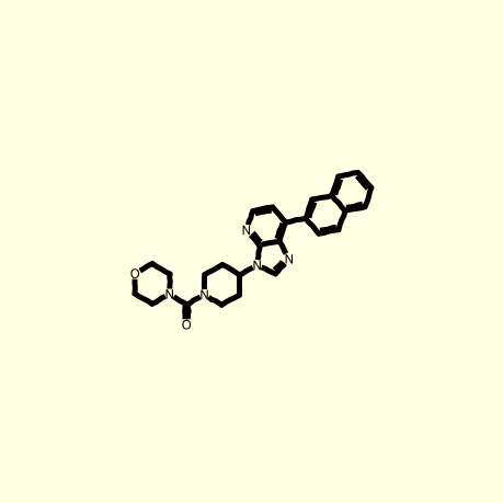 O=C(N1CCOCC1)N1CCC(n2cnc3c(-c4ccc5ccccc5c4)ccnc32)CC1